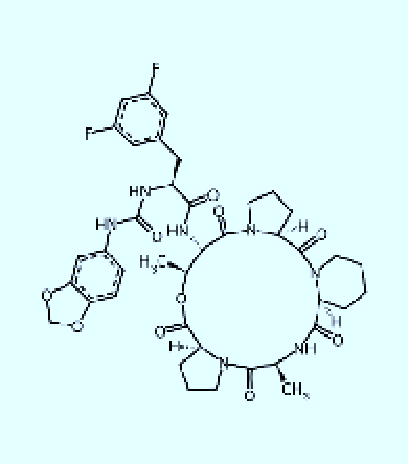 C[C@@H]1NC(=O)[C@@H]2CCCCN2C(=O)[C@@H]2CCCN2C(=O)[C@@H](NC(=O)[C@H](Cc2cc(F)cc(F)c2)NC(=O)Nc2ccc3c(c2)OCO3)[C@H](C)OC(=O)[C@@H]2CCCN2C1=O